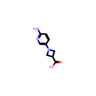 Nc1ccc(N2CC(C(=O)O)C2)cn1